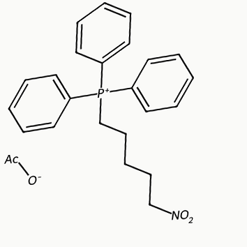 CC(=O)[O-].O=[N+]([O-])CCCCC[P+](c1ccccc1)(c1ccccc1)c1ccccc1